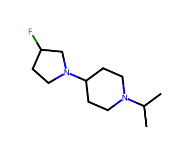 CC(C)N1CCC(N2CCC(F)C2)CC1